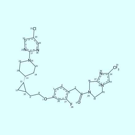 O=C(Cc1ccc(OCCC2C[C@@H]2C2CCN(c3ncc(Cl)cn3)CC2)cc1F)N1CCn2cc(C(F)(F)F)nc2C1